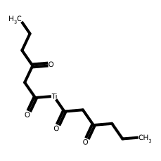 CCCC(=O)C[C](=O)[Ti][C](=O)CC(=O)CCC